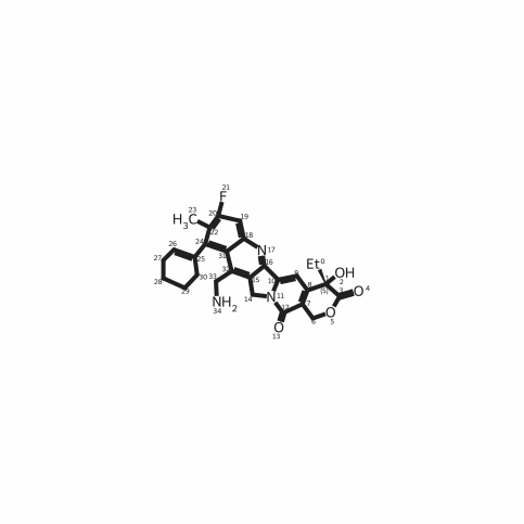 CC[C@@]1(O)C(=O)OCc2c1cc1n(c2=O)Cc2c-1nc1cc(F)c(C)c(C3=CCCCC3)c1c2CN